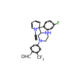 C#CN1C=CC=CC1(c1ccc(F)cc1)C1CN(c2ccc(C=O)c(C(F)(F)F)c2)CCN1